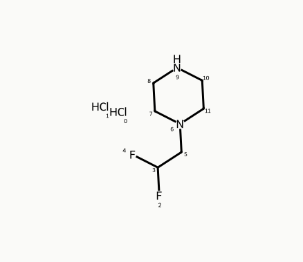 Cl.Cl.FC(F)CN1CCNCC1